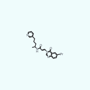 CC(CCCc1cccnc1)NC(=O)C=Cn1cnc2ccc(C(C)C)cc2c1=O